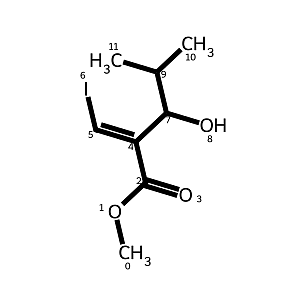 COC(=O)C(=CI)C(O)C(C)C